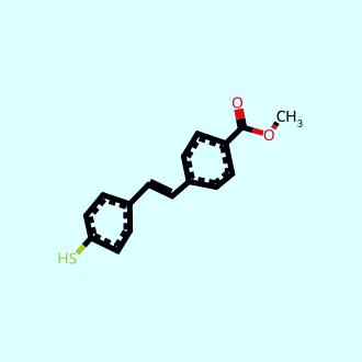 COC(=O)c1ccc(C=Cc2ccc(S)cc2)cc1